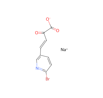 O=C([O-])C(=O)C=Cc1ccc(Br)nc1.[Na+]